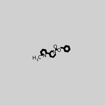 Cc1cccc(C2=CCCN(C(=O)OCc3ccccc3)C2)n1